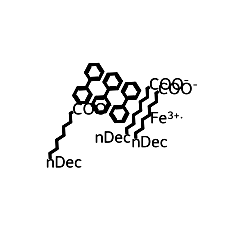 CCCCCCCCCCCCCCCCCC(=O)[O-].CCCCCCCCCCCCCCCCCC(=O)[O-].CCCCCCCCCCCCCCCCCC(=O)[O-].[Fe+3].c1ccc(-c2ccccc2)cc1.c1ccc(-c2ccccc2)cc1.c1ccc(-c2ccccc2)cc1